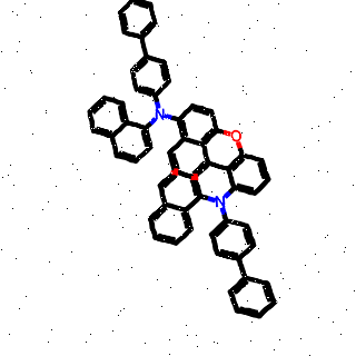 c1ccc(-c2ccc(N(c3cccc4c3-c3cccc5c(N(c6ccc(-c7ccccc7)cc6)c6cccc7ccccc67)ccc(c35)O4)c3cccc4ccccc34)cc2)cc1